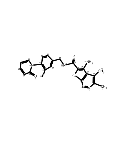 Cc1nnc2sc(C(=O)NCc3ccc(-n4ccccc4=O)c(F)c3)c(N)c2c1C